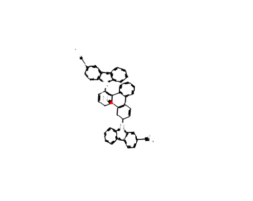 N#CC1=C(c2ccccc2C2=C(n3c4ccccc4c4cc(C#N)ccc43)C=CCC2)C=CC(n2c3ccccc3c3ccc(C#N)cc32)C1